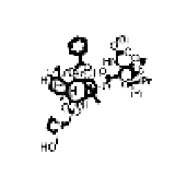 CC(=O)O[C@@]12CO[C@@H]1CC[C@@]1(C)[C@@H]3O[C@H](CN4CC[C@H]4CO)O[C@@H]3C3=C(C)[C@@H](OC(=O)[C@H](O[Si](C(C)C)(C(C)C)C(C)C)[C@@H](NC(=O)OC(C)(C)C)c4cnco4)C[C@@](O)([C@@H](OC(=O)c4ccccc4)[C@@H]12)C3(C)C